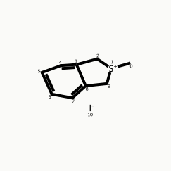 C[S+]1Cc2ccccc2C1.[I-]